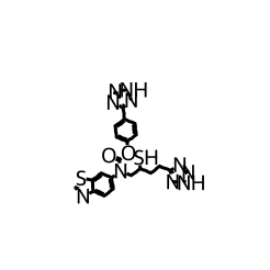 O=C(Oc1ccc(-c2nn[nH]n2)cc1)N(CC(S)CCc1nn[nH]n1)c1ccc2ncsc2c1